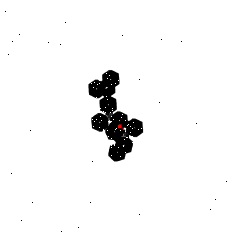 c1ccc(N(c2ccc(-c3ccccc3-n3c4ccccc4c4c5ccccc5ccc43)cc2)c2ccc(-c3cc4ccccc4c4ccccc34)cc2)cc1